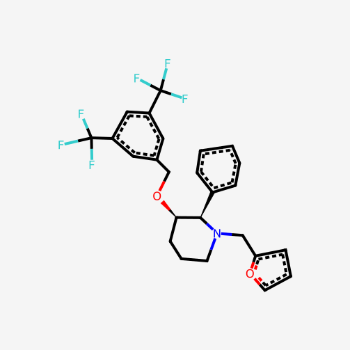 FC(F)(F)c1cc(CO[C@@H]2CCCN(Cc3ccco3)[C@@H]2c2ccccc2)cc(C(F)(F)F)c1